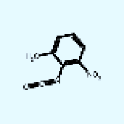 Cc1cccc([N+](=O)[O-])c1N=C=O